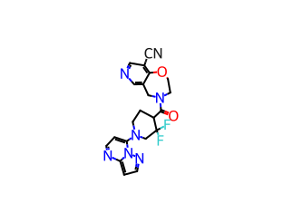 N#Cc1cncc2c1OCCN(C(=O)C1CCN(c3ccnc4ccnn34)CC1(F)F)C2